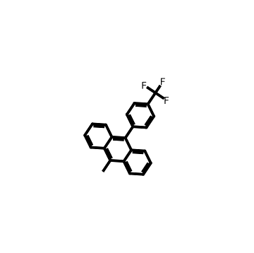 Cc1c2ccccc2c(-c2ccc(C(F)(F)F)cc2)c2ccccc12